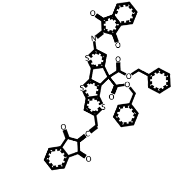 O=C1C(=C=Cc2cc3sc4c(c3s2)C(C(=O)OCc2ccccc2)(C(=O)OCc2ccccc2)c2cc(N=c3c(=O)c5ccccc5c3=O)sc2-4)C(=O)c2ccccc21